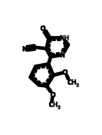 COc1cccc(-c2nc[nH]c(=O)c2C#N)c1OC